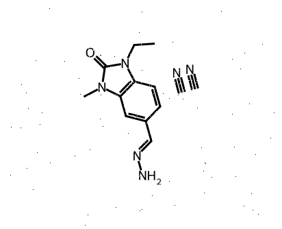 C#N.C#N.CCn1c(=O)n(C)c2cc(C=NN)ccc21